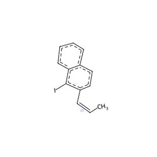 C/C=C\c1ccc2ccccc2c1I